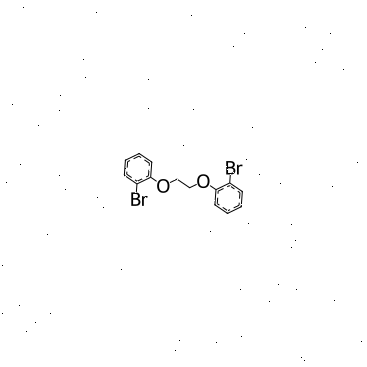 Brc1ccccc1OCCOc1ccccc1Br